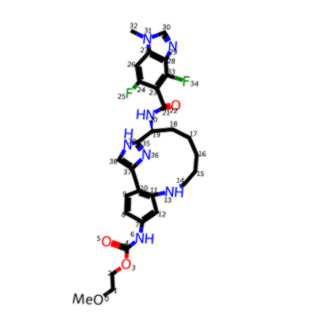 COCCOC(=O)Nc1ccc2c(c1)NCCCCC[C@H](NC(=O)c1c(F)cc3c(ncn3C)c1F)c1nc-2c[nH]1